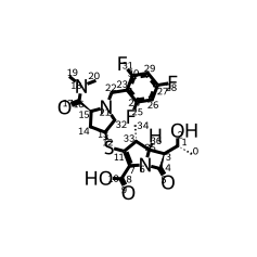 C[C@@H](O)[C@H]1C(=O)N2C(C(=O)O)=C(S[C@H]3C[C@@H](C(=O)N(C)C)N(Cc4c(F)cc(F)cc4F)C3)[C@H](C)[C@H]12